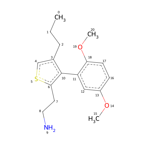 CCCc1csc(CCN)c1-c1cc(OC)ccc1OC